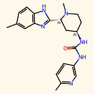 Cc1ccc2[nH]c([C@H]3C[C@H](NC(=O)Nc4ccc(C)nc4)CCN3C)nc2c1